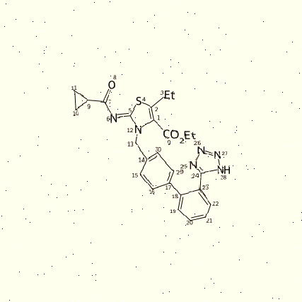 CCOC(=O)c1c(CC)sc(=NC(=O)C2CC2)n1Cc1ccc(-c2ccccc2-c2nnn[nH]2)cc1